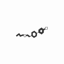 CCCCOCC[C@H]1CC[C@H](c2ccc(Cl)cc2)CC1